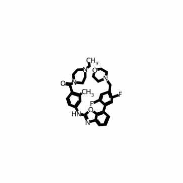 CCN1CCN(C(=O)c2ccc(Nc3nc4cccc(-c5cc(F)c(CN6CCOCC6)cc5F)c4o3)cc2C)CC1